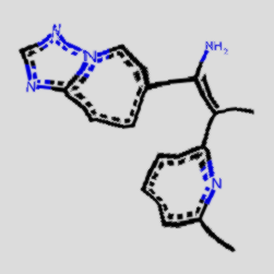 C/C(=C(\N)c1ccc2ncnn2c1)c1cccc(C)n1